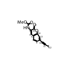 COC(=O)Nc1cc2ccc(C#CI)cc2oc1=O